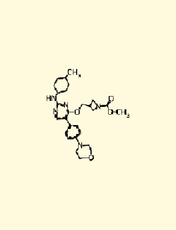 COC(=O)N1CC(COc2nc(NC3CCC(C)CC3)ncc2-c2ccc(N3CCOCC3)cc2)C1